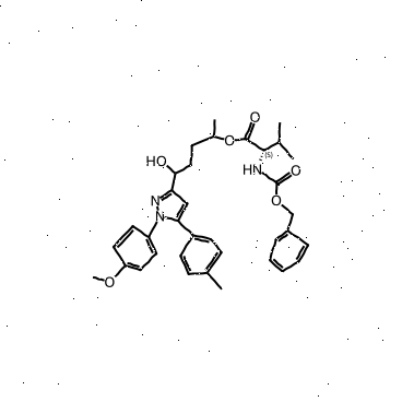 COc1ccc(-n2nc(C(O)CCC(C)OC(=O)[C@@H](NC(=O)OCc3ccccc3)C(C)C)cc2-c2ccc(C)cc2)cc1